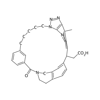 Cc1c2cnc3c1nnn3CCCCCc1cccc(c1)C(=O)N1CCc3ccc(cc3C1)C2CC(=O)O